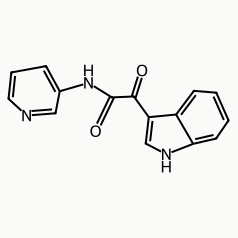 O=C(Nc1cccnc1)C(=O)c1c[nH]c2ccccc12